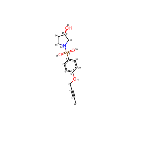 CC#CCOc1ccc(S(=O)(=O)N2CC[C@@H](O)C2)cc1